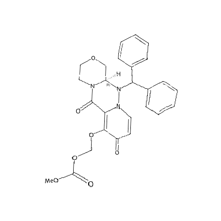 COC(=O)OCOc1c2n(ccc1=O)N(C(c1ccccc1)c1ccccc1)[C@@H]1COCCN1C2=O